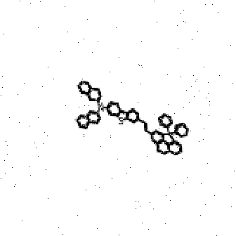 C(=C\c1ccc2c(c1)sc1cc(N(c3ccc4ccccc4c3)c3ccc4ccccc4c3)ccc12)/c1cc2c3c(ccc4cccc(c43)C2(c2ccccc2)c2ccccc2)c1